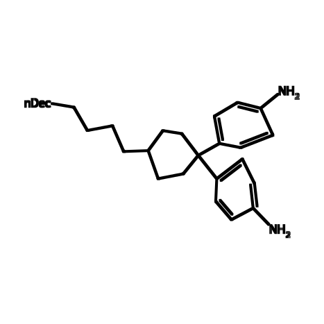 CCCCCCCCCCCCCCC1CCC(c2ccc(N)cc2)(c2ccc(N)cc2)CC1